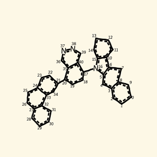 c1ccc2cc3c(cc2c1)c1ccccc1n3-c1ccc(-c2ccc3ccc4ccccc4c3c2)c2cnncc12